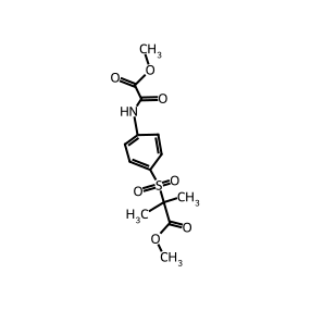 COC(=O)C(=O)Nc1ccc(S(=O)(=O)C(C)(C)C(=O)OC)cc1